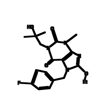 CCOc1nc2c(c(=O)n(CC(C)(C)O)c(=O)n2C)n1Cc1ccc(F)cc1